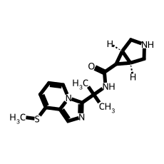 CSc1cccn2c(C(C)(C)NC(=O)C3[C@H]4CNC[C@@H]34)ncc12